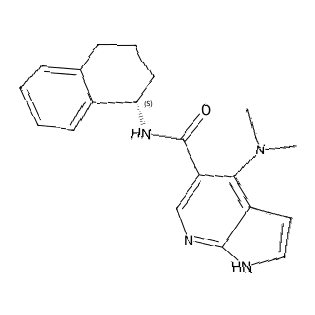 CN(C)c1c(C(=O)N[C@H]2CCCc3ccccc32)cnc2[nH]ccc12